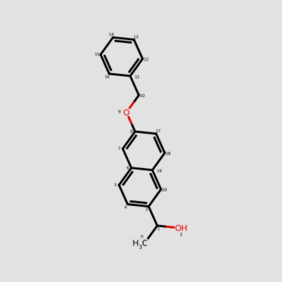 CC(O)c1ccc2cc(OCc3ccccc3)ccc2c1